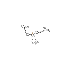 C/C(C#N)=C/C=C/C1=CC=C(c2sc(C3=CC=C(/C=C/C=C(/C)C#N)C3)c(CCCC(F)(F)F)c2CCCC(F)(F)F)C1